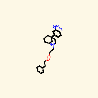 Nc1cccc(C23CCCC(C2)N(CCOCCc2ccccc2)CC3)c1